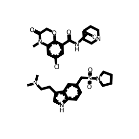 CN(C)CCc1c[nH]c2ccc(CS(=O)(=O)N3CCCC3)cc12.CN1C(=O)COc2c(C(=O)NC3CN4CCC3CC4)cc(Cl)cc21